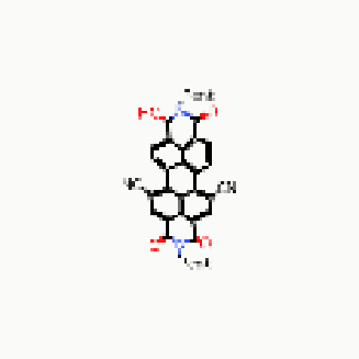 CCCC(C)N1C(=O)c2cc(C#N)c3c4ccc5c6c(ccc(c7c(C#N)cc(c2c37)C1=O)c64)C(O)N(C(C)CCC)C5=O